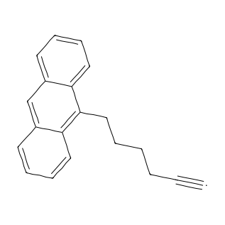 [C]#CCCCCc1c2ccccc2cc2ccccc12